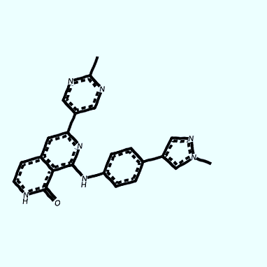 Cc1ncc(-c2cc3cc[nH]c(=O)c3c(Nc3ccc(-c4cnn(C)c4)cc3)n2)cn1